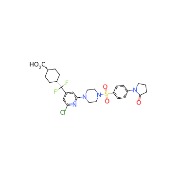 O=C1CCCN1c1ccc(S(=O)(=O)N2CCN(c3cc(C(F)(F)[C@H]4CC[C@H](C(=O)O)CC4)cc(Cl)n3)CC2)cc1